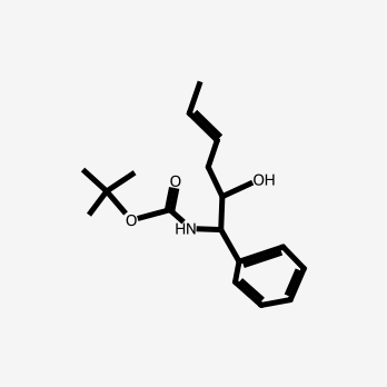 CC=CCC(O)C(NC(=O)OC(C)(C)C)c1ccccc1